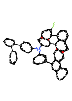 Fc1ccccc1-c1cccc2cccc(-c3cccc(N(c4ccc(-c5ccccc5-c5ccccc5)cc4)c4cccc(-c5cc6ccccc6c6ccccc56)c4)c3)c12